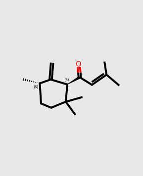 C=C1[C@@H](C(=O)C=C(C)C)C(C)(C)CC[C@@H]1C